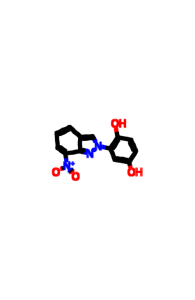 O=[N+]([O-])c1cccc2cn(-c3cc(O)ccc3O)nc12